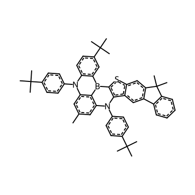 Cc1cc2c3c(c1)N(c1ccc(C(C)(C)C)cc1)c1c(sc4cc5c(cc14)-c1ccccc1C5(C)C)B3c1cc(C(C)(C)C)ccc1N2c1ccc(C(C)(C)C)cc1